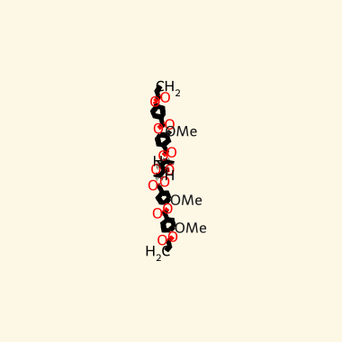 C=CC(=O)Oc1ccc(C(=O)Oc2ccc(C(=O)O[C@@H]3CO[C@@H]4[C@@H]3OC[C@H]4OC(=O)c3ccc(OC(=O)c4ccc(OC(=O)C=C)c(OC)c4)c(OC)c3)cc2OC)cc1